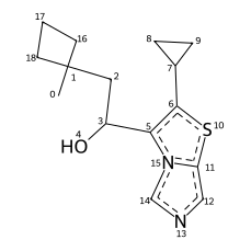 CC1(CC(O)c2c(C3CC3)sc3cncn23)CCC1